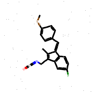 CSc1ccc(/C=C2\C(C)=C(CN=C=O)c3cc(F)ccc32)cc1